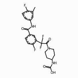 Cc1cc(NC(=O)c2ccc(F)c(C(F)(F)C(=O)N3CCC(NC(=O)O)CC3)c2)ccc1F